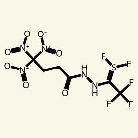 O=C(CCC([N+](=O)[O-])([N+](=O)[O-])[N+](=O)[O-])NNC(=S(F)F)C(F)(F)F